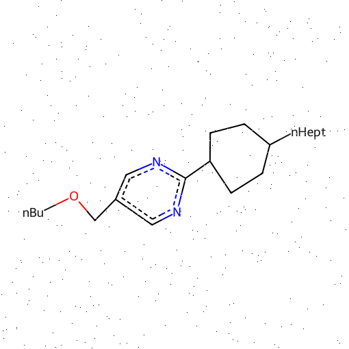 CCCCCCCC1CCC(c2ncc(COCCCC)cn2)CC1